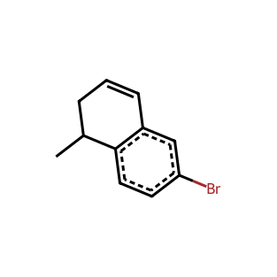 CC1CC=Cc2cc(Br)ccc21